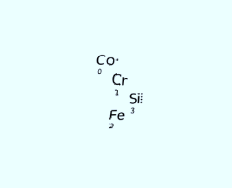 [Co].[Cr].[Fe].[Si]